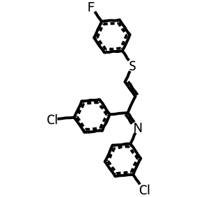 Fc1ccc(S/C=C/C(=N/c2cccc(Cl)c2)c2ccc(Cl)cc2)cc1